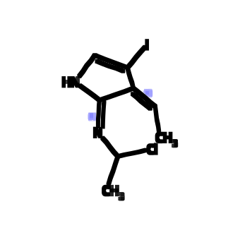 C/C=C1/C(I)=CN/C1=N/C(C)Cl